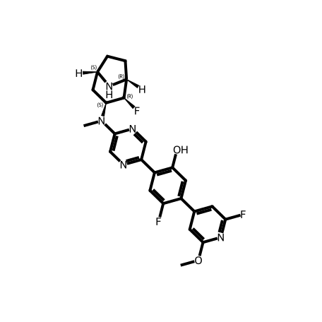 COc1cc(-c2cc(O)c(-c3cnc(N(C)[C@H]4C[C@@H]5CC[C@@H](N5)[C@H]4F)cn3)cc2F)cc(F)n1